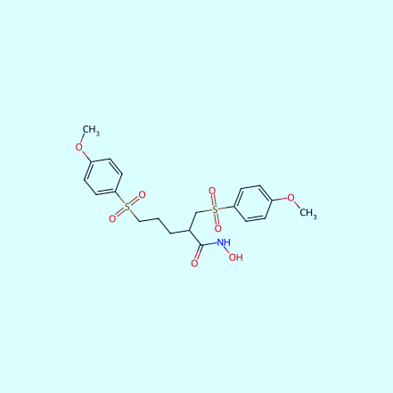 COc1ccc(S(=O)(=O)CCCC(CS(=O)(=O)c2ccc(OC)cc2)C(=O)NO)cc1